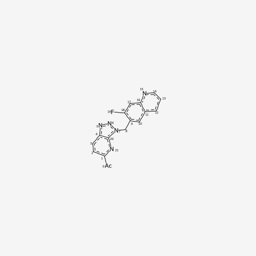 CC(=O)c1ccc2nnn(Cc3cc4cccnc4cc3F)c2n1